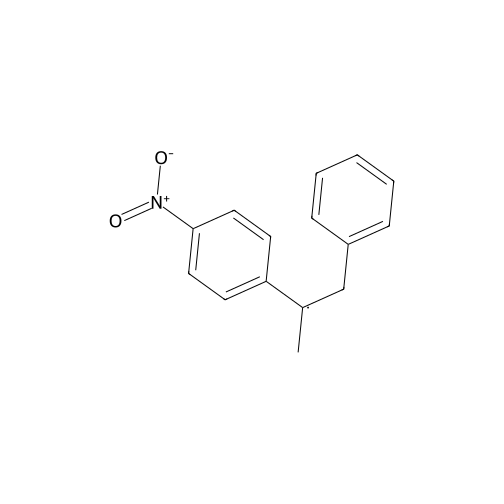 C[C](Cc1ccccc1)c1ccc([N+](=O)[O-])cc1